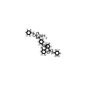 NC(=NC(=O)OCc1ccccc1)c1ccc(NCc2ccccc2-c2ccccc2C(=O)OCc2ccccc2)cc1